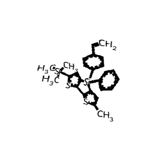 C=Cc1ccc([Si]2(c3ccccc3)c3cc(C)sc3-c3sc([Si](C)(C)C)cc32)cc1